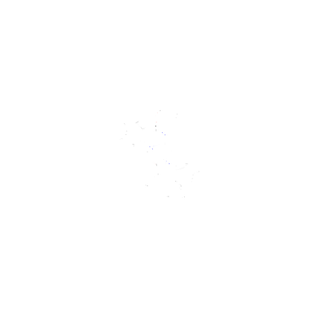 CC(=O)Cn1c(CN2C(=O)C(F)(F)Oc3c([C@H](C)O)cccc32)nc2ccccc2c1=O